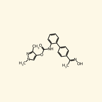 CC(=NO)c1ccc(-c2ccccc2NC(=O)Oc2cn(C)nc2C)cc1